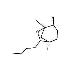 CCCCC1OC2(C)C[C@@]1(C)CC[C@@H]2C